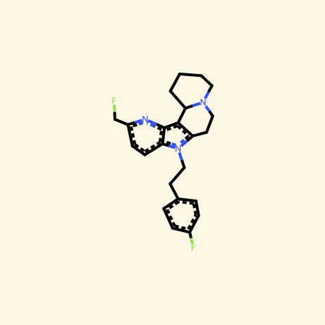 FCc1ccc2c(n1)c1c(n2CCc2ccc(F)cc2)CCN2CCCCC12